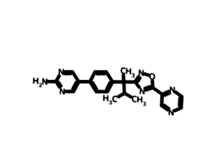 CC(C)C(C)(c1ccc(-c2cnc(N)nc2)cc1)c1noc(-c2cnccn2)n1